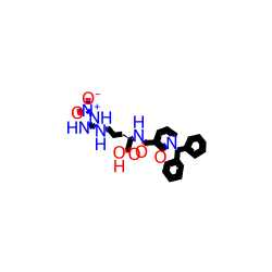 N=C(NCCC[C@H](NC(=O)c1cccn(C(c2ccccc2)c2ccccc2)c1=O)C(=O)O)N[N+](=O)[O-]